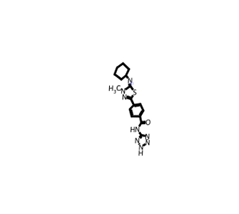 Cn1nc(-c2ccc(C(=O)Nc3nn[nH]n3)cc2)s/c1=N/C1CCCCC1